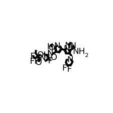 CCC(O)(C(=O)N1C[C@H](F)[C@H](NC(=O)c2cc(-c3cc(CN4CCC(F)(F)CC4)c4c(N)ncnn34)cnc2OC)C1)C(F)(F)F